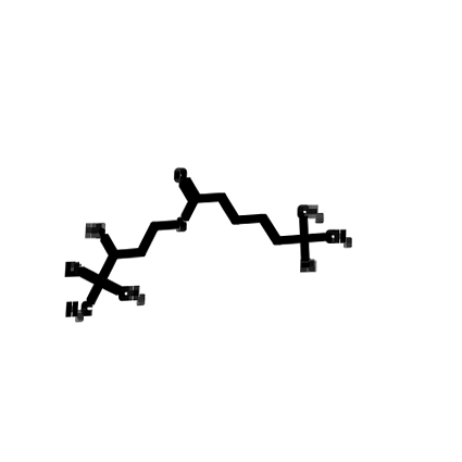 CCC(C)(C)CCCCC(=O)SCCC(S)C(C)(C)CC